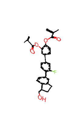 C=C(C)C(=O)Oc1ccc(-c2ccc(-c3ccc4c(c3)CCC4CO)c(F)c2)cc1OC(=O)C(=C)C